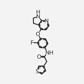 O=C(Cc1ccsc1)Nc1ccc(Oc2ccnc3c2CCN3)c(F)c1